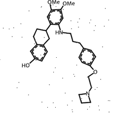 COc1cc(NCCCc2ccc(OCCN3CCC3)cc2)c(C2CCc3cc(O)ccc3C2)cc1OC